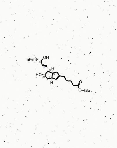 CCCCC[C@H](O)/C=C/[C@@H]1[C@H]2CC(CCCCC(=O)OC(C)(C)C)=C[C@H]2C[C@H]1O